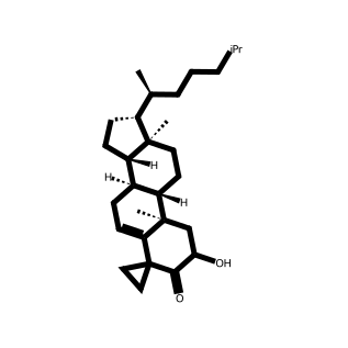 CC(C)CCC[C@H](C)[C@H]1CC[C@H]2[C@@H]3CC=C4C5(CC5)C(=O)C(O)C[C@]4(C)[C@H]3CC[C@]12C